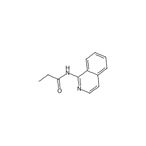 CCC(=O)Nc1nccc2ccccc12